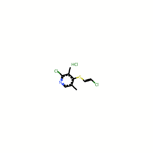 Cc1cnc(Cl)c(C)c1SC=CCl.Cl